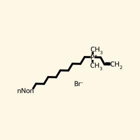 C=CC[P+](C)(C)CCCCCCCCCCCCCCCCCC.[Br-]